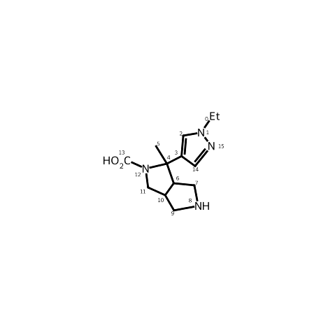 CCn1cc(C2(C)C3CNCC3CN2C(=O)O)cn1